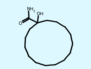 NC(=O)C1(O)CCCCCCCCCCCCCC1